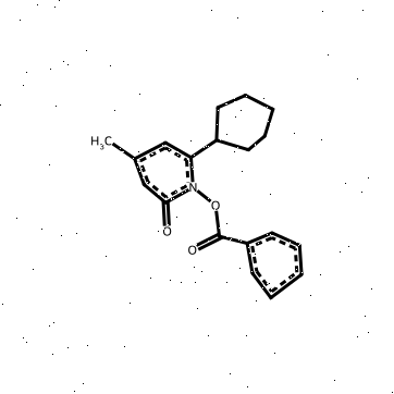 Cc1cc(C2CCCCC2)n(OC(=O)c2ccccc2)c(=O)c1